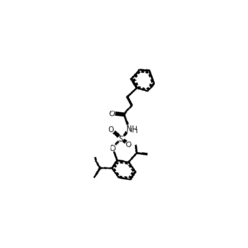 CC(C)c1cccc(C(C)C)c1OS(=O)(=O)NC(=O)CCc1ccccc1